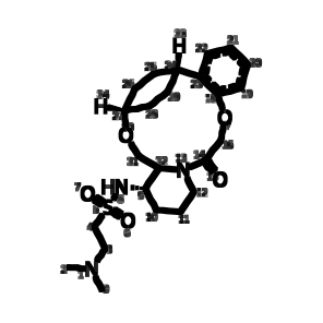 CN(C)CCS(=O)(=O)N[C@H]1CCCN2C(=O)COc3ccccc3[C@H]3CC[C@H](CC3)OCC12